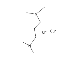 CN(C)CCCN(C)C.[Cl-].[Cu+]